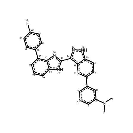 CN(C)c1cncc(-c2ccc3[nH]nc(-c4nc5c(-c6ccc(F)cc6)cccc5[nH]4)c3n2)c1